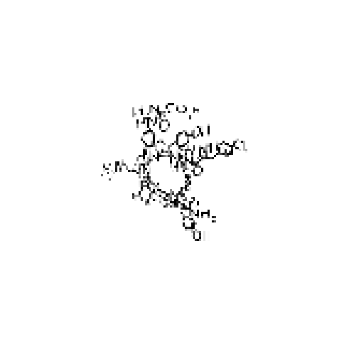 CC(O)C1NC(=O)[C@H](CCCCN)NC(=O)[C@@H](Cc2ccc(NC(=O)[C@@H](N)CC(=O)O)cc2)NC(=O)[C@H](Cc2ccc(O)cc2)NC(=O)[C@H](NC(=O)[C@@H](N)Cc2ccc(Cl)cc2)CSSC[C@@H](C(=O)N[C@H](Cc2ccc(O)cc2)C(N)=O)NC1=O